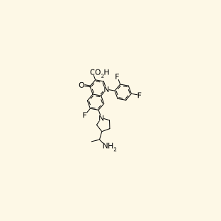 CC(N)C1CCN(c2cc3c(cc2F)c(=O)c(C(=O)O)cn3-c2ccc(F)cc2F)C1